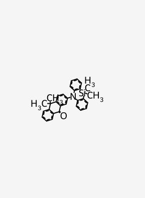 CC1(C)c2ccccc2C(=O)c2cc(N3c4ccccc4[Si](C)(C)c4ccccc43)ccc21